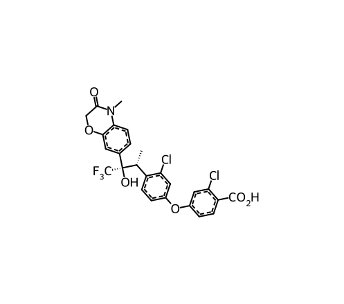 C[C@H](c1ccc(Oc2ccc(C(=O)O)c(Cl)c2)cc1Cl)[C@@](O)(c1ccc2c(c1)OCC(=O)N2C)C(F)(F)F